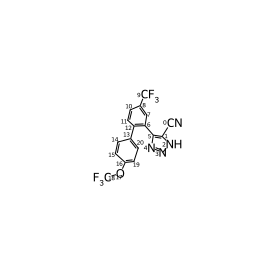 N#Cc1[nH]nnc1-c1cc(C(F)(F)F)ccc1-c1ccc(OC(F)(F)F)cc1